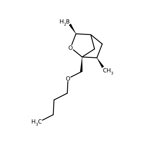 B[C@@H]1O[C@]2(COCCCC)CC1C[C@H]2C